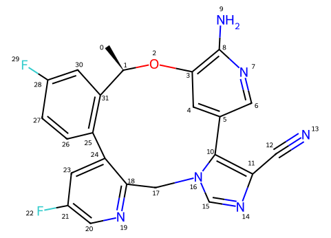 C[C@H]1Oc2cc(cnc2N)-c2c(C#N)ncn2Cc2ncc(F)cc2-c2ccc(F)cc21